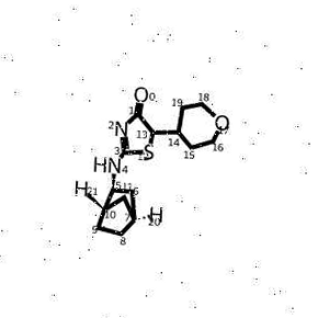 O=C1N=C(N[C@H]2C[C@H]3CC[C@H]2C3)SC1C1CCOCC1